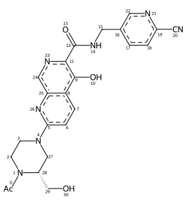 CC(=O)N1CCN(c2ccc3c(O)c(C(=O)NCc4ccc(C#N)nc4)ncc3n2)C[C@@H]1CO